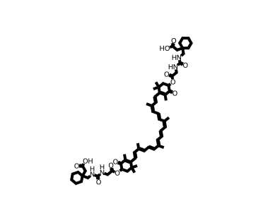 CC(C=CC=C(C)C=CC1=C(C)C(=O)C(OC(=O)CNC(=O)NCC2(CC(=O)O)CCCCC2)CC1(C)C)=CC=CC=C(C)C=CC=C(C)C=CC1=C(C)C(=O)C(OC(=O)CNC(=O)NCC2(CC(=O)O)CCCCC2)CC1(C)C